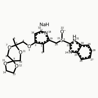 Cc1c(OCC2(C)OCC3(CO2)OCCO3)ccnc1C[S+]([O-])c1nc2ccccc2[nH]1.[NaH]